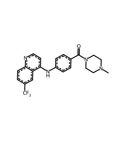 CN1CCN(C(=O)c2ccc(Nc3ccnc4ccc(C(F)(F)F)cc34)cc2)CC1